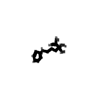 CC(S)(CCCOc1ccccc1)C(=S)S